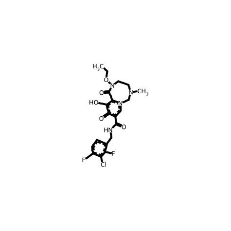 CCON1CCN(C)Cn2cc(C(=O)NCc3ccc(F)c(Cl)c3F)c(=O)c(O)c2C1=O